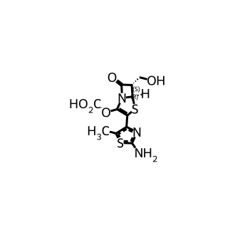 Cc1sc(N)nc1C1=C(OC(=O)O)N2C(=O)[C@H](CO)[C@H]2S1